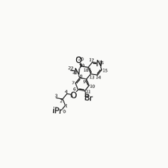 CC(C)CC(C)COc1cc2c(cc1Br)c1ccncc1c(=O)n2C